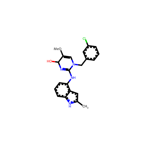 COC1=CN(Cc2cccc(Cl)c2)C(Nc2cccc3[nH]c(C)cc23)=NC1O